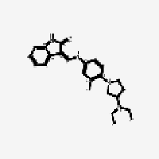 CCN(CC)C1CCN(c2ccc(NC=C3C(=O)Nc4ccccc43)cc2C)C1